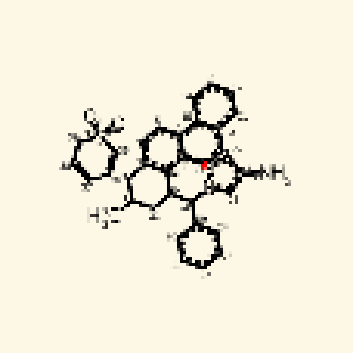 CC1Cc2ccc3c(ccc4ccccc43)c2C(C(c2ccccc2)n2cc(N)cn2)C1.O=S1(=O)C=CC=CC1